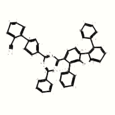 N#Cc1ccccc1-c1ccc(-c2nc(-c3ccccc3)nc(-c3ccc4c(oc5cccc(-c6ccccc6)c54)c3-c3ccccc3)n2)cc1